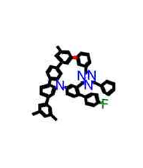 Cc1cc(C)cc(-c2ccc3c4ccc(-c5cc(C)cc(C)c5)cc4n(-c4ccc(-c5ccc(F)cc5)c(-c5nc(-c6ccccc6)nc(-c6ccccc6)n5)c4)c3c2)c1